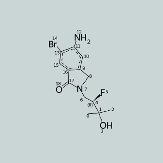 CC(C)(O)[C@H](F)CN1Cc2cc(N)c(Br)cc2C1=O